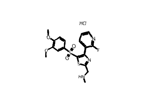 CNCc1nc(-c2cccnc2F)c(S(=O)(=O)c2ccc(OC)c(OC)c2)s1.Cl